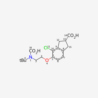 CC(C)(C)N(CCOc1ccc2c(c1Cl)CC(C(=O)O)C2)C(=O)O